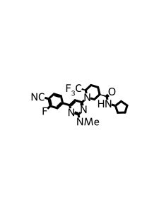 CNc1nc(-c2ccc(C#N)c(F)c2)cc(N2C[C@H](C(=O)NC3CCCC3)CC[C@@H]2C(F)(F)F)n1